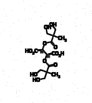 CC(CO)(CO)C(=O)O[C@H](C(=O)O)[C@H](OC(=O)C(C)(CO)CO)C(=O)O